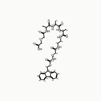 CC(NC(=O)COCC(=O)O)C(=O)NC(C)C(=O)NC(C)C(=O)NCCNC(=O)CONC(=O)OCC1c2ccccc2-c2ccccc21